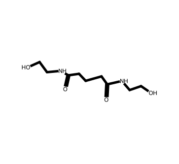 O=C(CCCC(=O)NCCO)NCCO